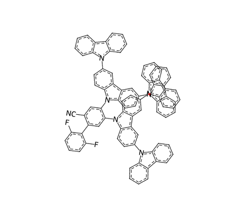 N#Cc1cc(-n2c3ccc(-n4c5ccccc5c5ccccc54)cc3c3cc(-n4c5ccccc5c5ccccc54)ccc32)c(-n2c3ccc(-n4c5ccccc5c5ccccc54)cc3c3cc(-n4c5ccccc5c5ccccc54)ccc32)cc1-c1c(F)cccc1F